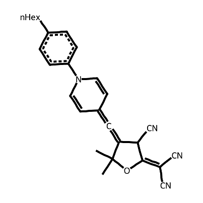 CCCCCCc1ccc(N2C=CC(=C=C3C(C#N)C(=C(C#N)C#N)OC3(C)C)C=C2)cc1